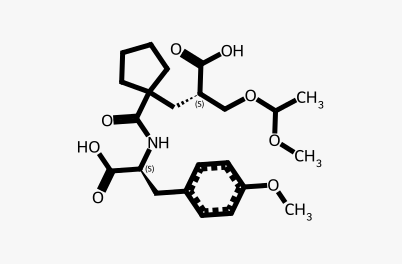 COc1ccc(C[C@H](NC(=O)C2(C[C@@H](COC(C)OC)C(=O)O)CCCC2)C(=O)O)cc1